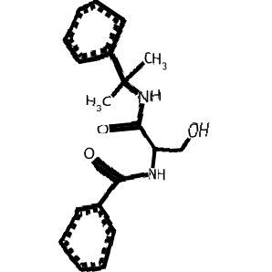 CC(C)(NC(=O)C(CO)NC(=O)c1ccccc1)c1ccccc1